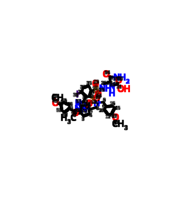 COc1ccc(CN(Cc2ccc(OC)cc2)S(=O)(=O)c2c(S(=O)(=O)NCC(NC(=O)O)C(N)=O)ccc(I)c2-c2nnn(Cc3ccc(OC)cc3)n2)cc1